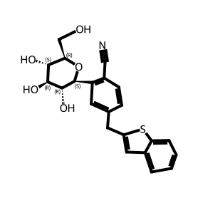 N#Cc1ccc(Cc2cc3ccccc3s2)cc1[C@@H]1O[C@H](CO)[C@@H](O)[C@H](O)[C@H]1O